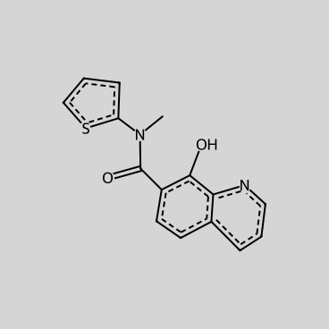 CN(C(=O)c1ccc2cccnc2c1O)c1cccs1